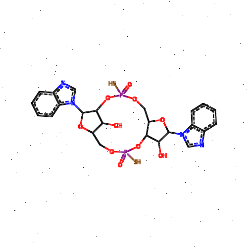 O=P1(S)OCC2OC(n3cnc4ccccc43)C(OP(=O)(S)OCC3OC(n4cnc5ccccc54)C(O)C3O1)C2O